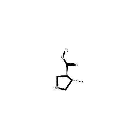 CCOC(=O)[C@@H]1CNC[C@H]1C